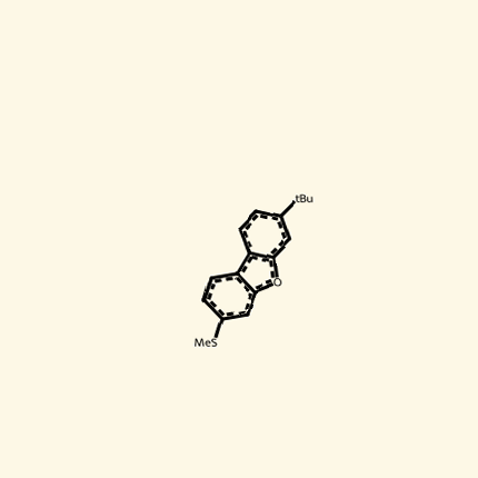 CSc1ccc2c(c1)oc1cc(C(C)(C)C)ccc12